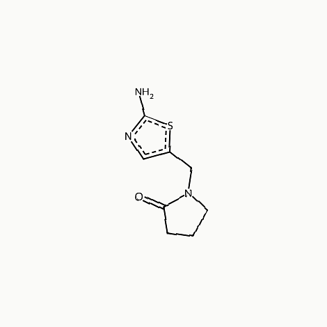 Nc1ncc(CN2CCCC2=O)s1